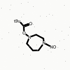 CC(C)(C)C(=O)ON1CCCN(N=O)CC1